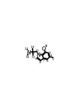 COc1cc(C)cc2ccn(CC(C)(C)N(C)C)c12